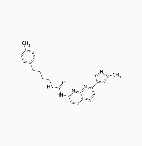 Cc1ccc(CCCCNC(=O)Nc2ccc3ncc(-c4cnn(C)c4)nc3n2)cc1